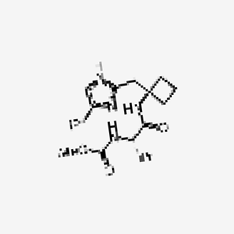 COC(=O)N[C@H](C(=O)NC1(Cc2nc(C(C)C)c[nH]2)CCC1)C(C)C